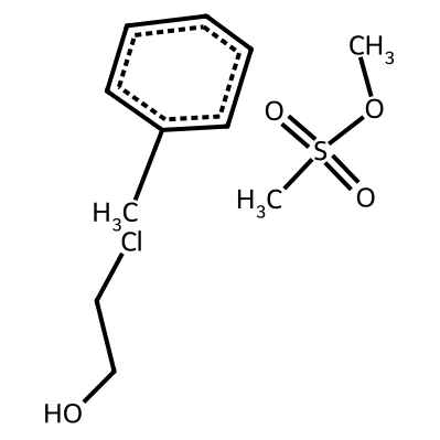 COS(C)(=O)=O.Cc1ccccc1.OCCCl